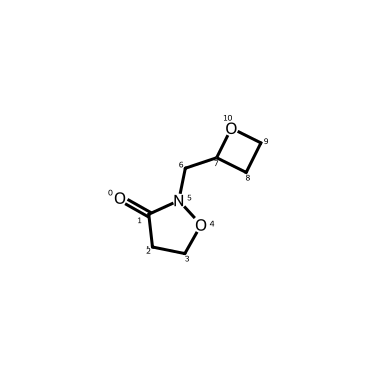 O=C1[CH]CON1CC1CCO1